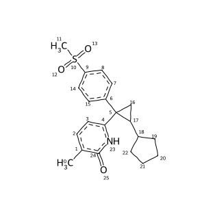 Cc1ccc(C2(c3ccc(S(C)(=O)=O)cc3)CC2C2CCCC2)[nH]c1=O